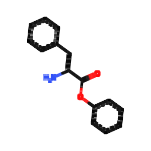 NC(=Cc1ccccc1)C(=O)Oc1ccccc1